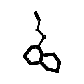 C=C[CH]Oc1cccc2ccccc12